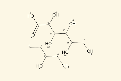 CCC(O)CN.O=C(O)C(O)C(O)C(O)C(O)CO